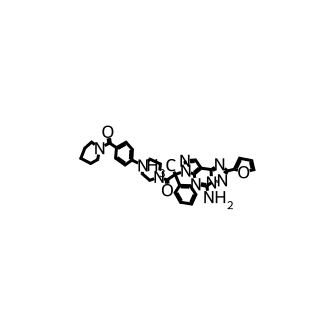 CC(C(=O)N1CCN(c2ccc(C(=O)N3CCCCC3)cc2)CC1)(c1ccccc1)n1ncc2c1nc(N)n1nc(-c3ccco3)nc21